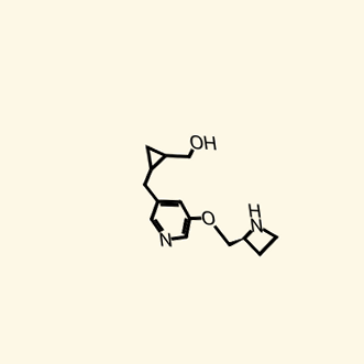 OCC1CC1Cc1cncc(OC[C@@H]2CCN2)c1